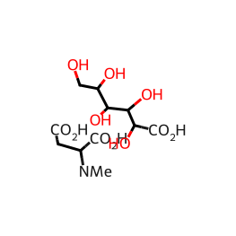 CNC(CC(=O)O)C(=O)O.O=C(O)C(O)C(O)C(O)C(O)CO